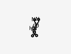 O=C(CNCC(=O)N1CCN(C(c2ccccc2)c2ccccc2)CC1)OC(CCCc1cccnc1)CCCc1cccnc1